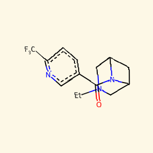 CCN1CC2CC(C1)N2C(=O)c1ccc(C(F)(F)F)nc1